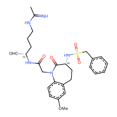 COc1ccc2c(c1)CC[C@@H](NS(=O)(=O)Cc1ccccc1)C(=O)N2CC(=O)N[C@H](C=O)CCCNC(C)=N